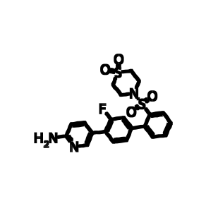 Nc1ccc(-c2ccc(-c3ccccc3S(=O)(=O)N3CCS(=O)(=O)CC3)cc2F)cn1